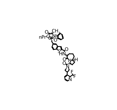 CCCOC(=O)[C@H](C)NP(=O)(Cc1ccc2sc(C(=O)N[C@H]3CCC[C@H]4CC[C@@H](C(=O)N5CC(c6cccnc6C(F)F)C5)N4C3=O)cc2c1)Oc1ccccc1